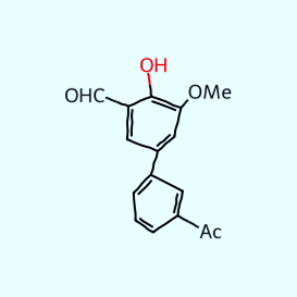 COc1cc(-c2cccc(C(C)=O)c2)cc(C=O)c1O